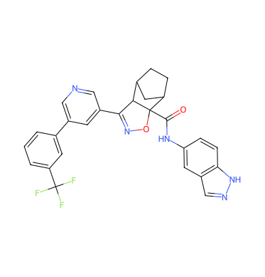 O=C(Nc1ccc2[nH]ncc2c1)C12ON=C(c3cncc(-c4cccc(C(F)(F)F)c4)c3)C1C1CCC2C1